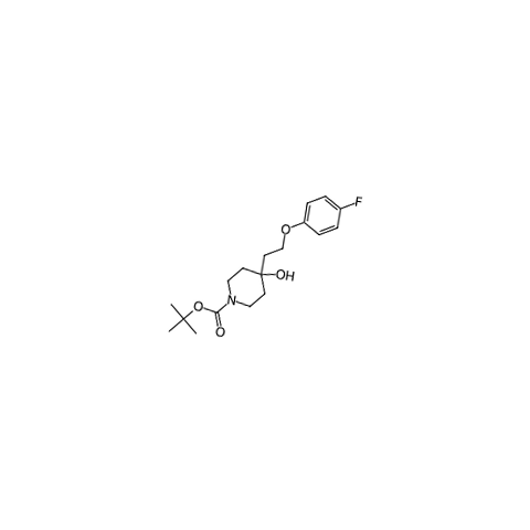 CC(C)(C)OC(=O)N1CCC(O)(CCOc2ccc(F)cc2)CC1